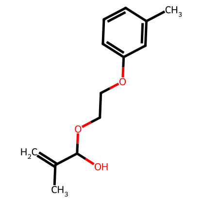 C=C(C)C(O)OCCOc1cccc(C)c1